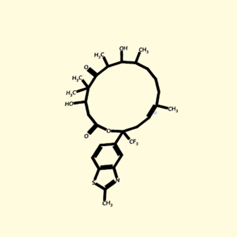 C/C1=C/CC(c2ccc3sc(C)nc3c2)(C(F)(F)F)OC(=O)CC(O)C(C)(C)C(=O)C(C)C(O)C(C)CCC1